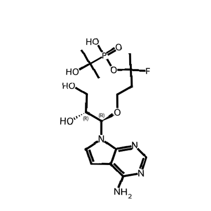 CC(F)(CCO[C@H]([C@H](O)CO)n1ccc2c(N)ncnc21)OP(=O)(O)C(C)(C)O